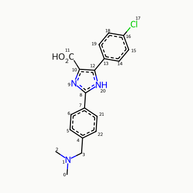 CN(C)Cc1ccc(-c2nc(C(=O)O)c(-c3ccc(Cl)cc3)[nH]2)cc1